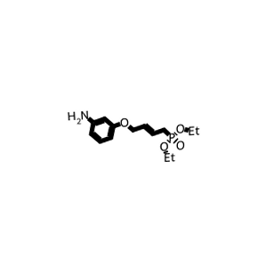 CCOP(=O)(C/C=C/COc1cccc(N)c1)OCC